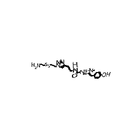 CN(C)[C@H](CNC(=O)NCCc1cn(CCSSCCN)nn1)Cc1ccc(O)cc1